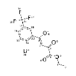 CCOC(=O)C(=O)/C=C(\[O-])c1cccc(C(F)(F)F)c1.[Li+]